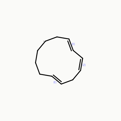 [CH]1C/C=C/C=C\C/C=C/CCC1